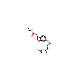 CCOC(=O)Cc1coc2cc(O[C@H](C)CCC(C)SC(C)C)ccc12